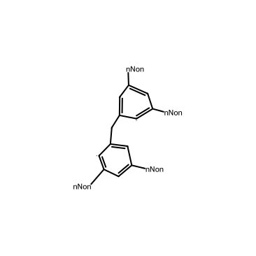 CCCCCCCCCc1[c]c(Cc2[c]c(CCCCCCCCC)cc(CCCCCCCCC)c2)cc(CCCCCCCCC)c1